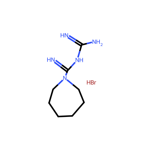 Br.N=C(N)NC(=N)N1CCCCCC1